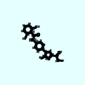 COC(=O)c1cc(-c2ccc(NC(=O)c3c(F)cccc3F)cc2)c(C)s1